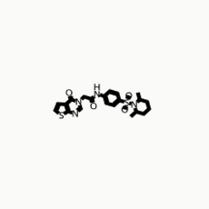 CC1CCCC(C)N1S(=O)(=O)c1ccc(NC(=O)Cn2cnc3sccc3c2=O)cc1